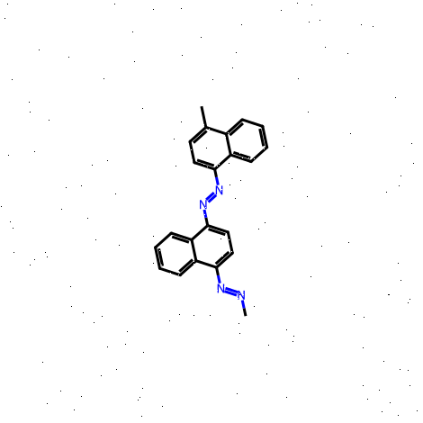 CN=Nc1ccc(N=Nc2ccc(C)c3ccccc23)c2ccccc12